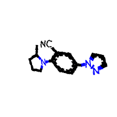 CC1CCCN1c1ccc(-n2cccn2)cc1C#N